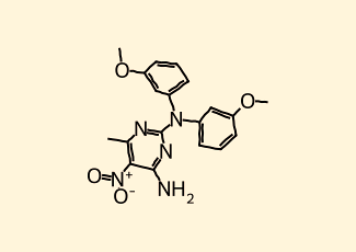 COc1cccc(N(c2cccc(OC)c2)c2nc(C)c([N+](=O)[O-])c(N)n2)c1